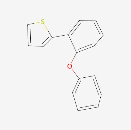 c1ccc(Oc2ccccc2-c2cccs2)cc1